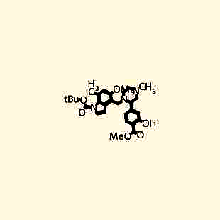 COC(=O)c1ccc(C2CN(C)CCN2Cc2c(OC)cc(C)c3c2ccn3C(=O)OC(C)(C)C)cc1O